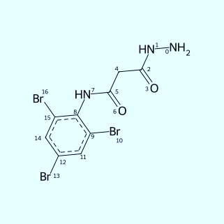 NNC(=O)CC(=O)Nc1c(Br)cc(Br)cc1Br